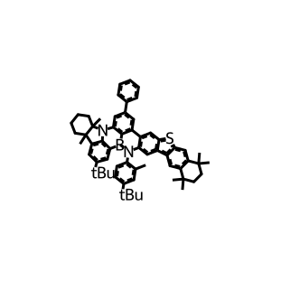 Cc1cc(C(C)(C)C)ccc1N1B2c3cc(C(C)(C)C)cc4c3N(c3cc(-c5ccccc5)cc(c32)-c2cc3sc5cc6c(cc5c3cc21)C(C)(C)CCC6(C)C)C1(C)CCCCC41C